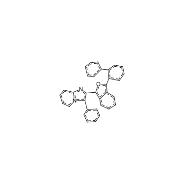 c1ccc(-c2ccccc2-c2oc(-c3nc4ccccn4c3-c3ccccc3)c3ccccc23)cc1